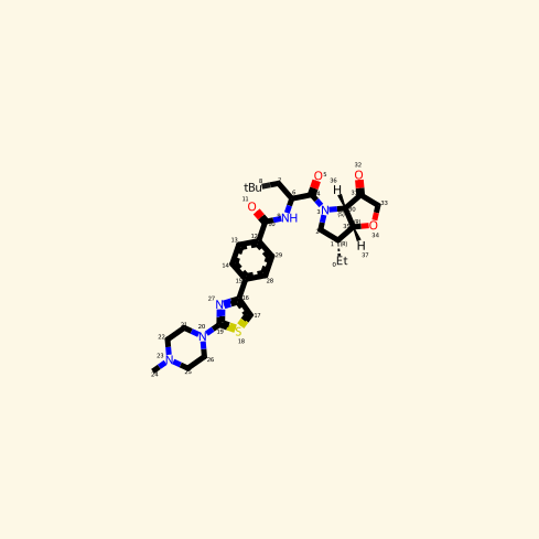 CC[C@@H]1CN(C(=O)C(CC(C)(C)C)NC(=O)c2ccc(-c3csc(N4CCN(C)CC4)n3)cc2)[C@@H]2C(=O)CO[C@H]12